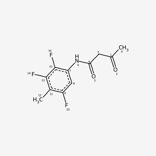 CC(=O)CC(=O)Nc1cc(F)c(C)c(F)c1F